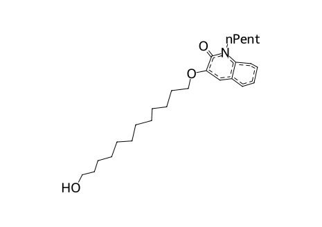 CCCCCn1c(=O)c(OCCCCCCCCCCCCO)cc2ccccc21